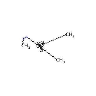 CCCCC/C=C\C/C=C\CCCCCCCCCC(=O)O[C@H](COC(=O)CCCCCCCCCCCCCCC)COC(=O)CCCCCCCCCCCCCCCCCCCCC